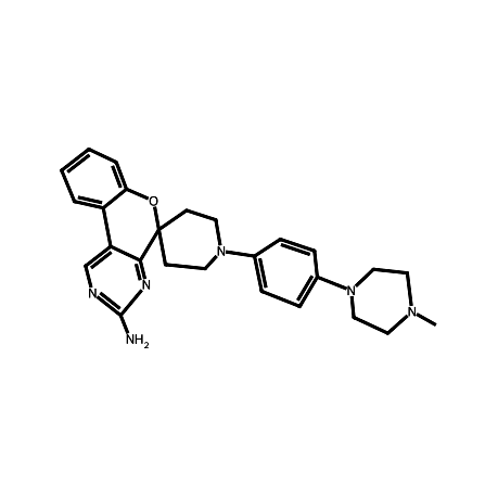 CN1CCN(c2ccc(N3CCC4(CC3)Oc3ccccc3-c3cnc(N)nc34)cc2)CC1